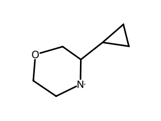 C1COCC(C2CC2)[N]1